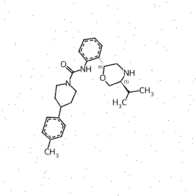 Cc1ccc(C2CCN(C(=O)Nc3ccccc3[C@@H]3CN[C@@H](C(C)C)CO3)CC2)cc1